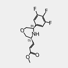 COC(=O)C=C[C@H]1COC[C@@H](c2cc(F)c(F)c(F)c2)N1